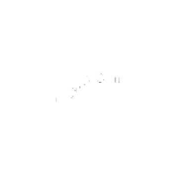 CC1CCCN1CCc1ccc(-c2ccc(C3(C(=O)NC[C@H](C(=O)O)C(C)(C)C)CCCC3)cc2)cc1